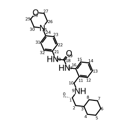 C[C@@H](CC1CCCCC1)NCc1ccccc1NC(=O)Nc1ccc(N2CCOCC2)cc1